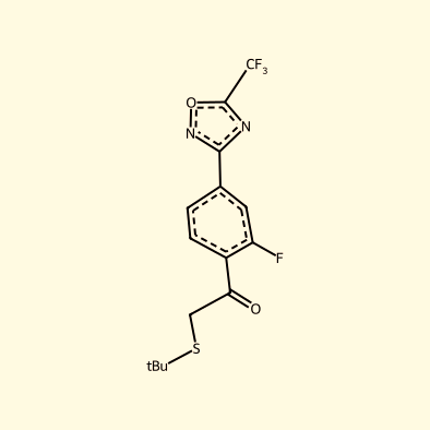 CC(C)(C)SCC(=O)c1ccc(-c2noc(C(F)(F)F)n2)cc1F